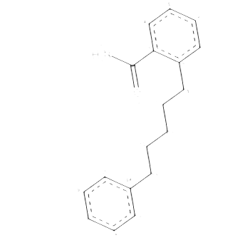 NC(=O)c1ccccc1CC[CH]CCc1ccccc1